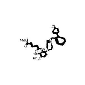 COC(=O)CCCC(=O)Nc1c(N2CCN(Cc3ccccc3-c3ccc(Cl)cc3)CC2)ccc(C(=O)O)c1C(C)(C)C